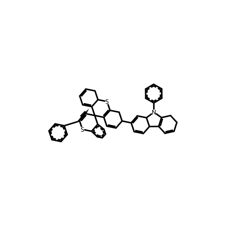 C1=CCC2SC3=C(C=CC(C4=CC5C(C=C4)C4=C(CCC=C4)N5c4ccccc4)C3)C3(C2=C1)C1=C(Sc2ccccc23)C(c2ccccc2)CC=C1